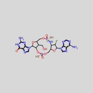 Nc1nc2c(ncn2C2OC3CO[P@](=O)(S)NC4C(CO[P@](=O)(S)OC2C3CO)OC(n2cnc3c(N)ncnc32)C4F)c(=O)[nH]1